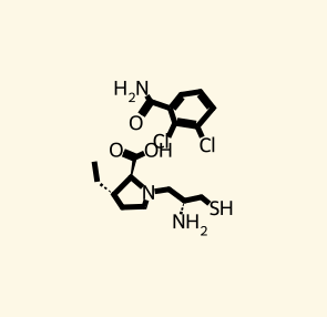 CC[C@H]1CCN(C[C@@H](N)CS)[C@@H]1C(=O)O.NC(=O)c1cccc(Cl)c1Cl